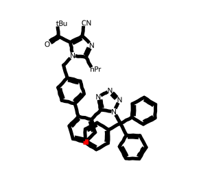 CCCc1nc(C#N)c(C(=O)C(C)(C)C)n1Cc1ccc(-c2ccccc2-c2nnnn2C(c2ccccc2)(c2ccccc2)c2ccccc2)cc1